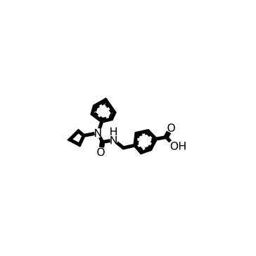 O=C(O)c1ccc(CNC(=O)N(c2ccccc2)C2CCC2)cc1